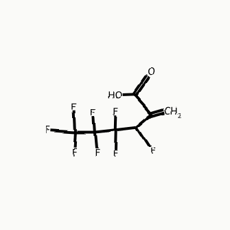 C=C(C(=O)O)C(F)C(F)(F)C(F)(F)C(F)(F)F